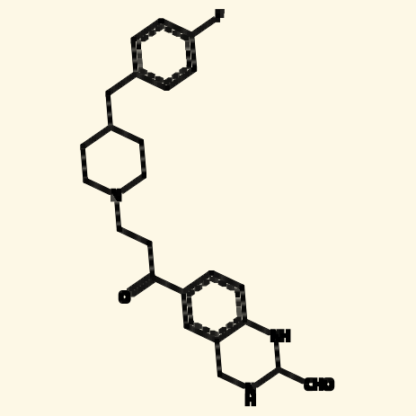 O=CC1NCc2cc(C(=O)CCN3CCC(Cc4ccc(F)cc4)CC3)ccc2N1